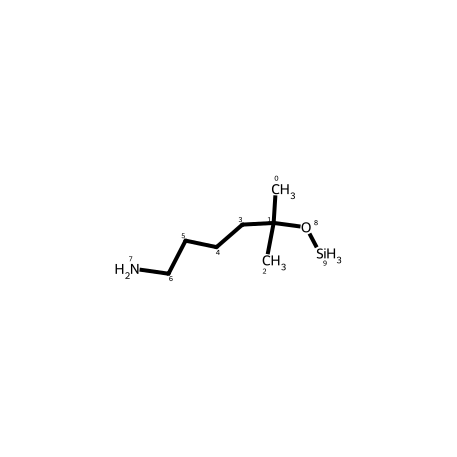 CC(C)(CCCCN)O[SiH3]